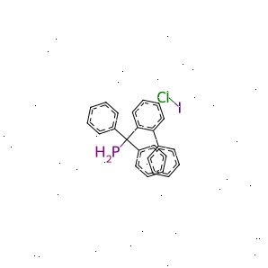 ClI.PC(c1ccccc1)(c1ccccc1)c1ccccc1-c1ccccc1